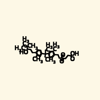 CCC(CC)(c1ccc(CCC(O)C(C)(C)C)c(C)c1)c1ccc(CCS(=O)(=O)CCC(=O)O)c(C)c1